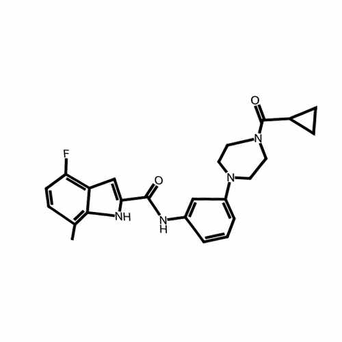 Cc1ccc(F)c2cc(C(=O)Nc3cccc(N4CCN(C(=O)C5CC5)CC4)c3)[nH]c12